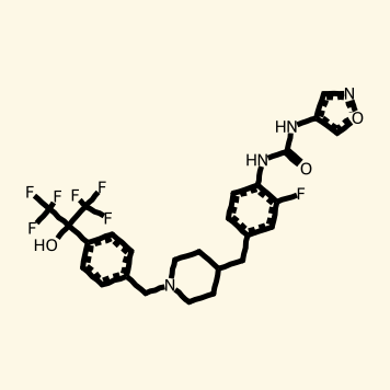 O=C(Nc1cnoc1)Nc1ccc(CC2CCN(Cc3ccc(C(O)(C(F)(F)F)C(F)(F)F)cc3)CC2)cc1F